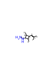 CC(C)=CC1C(C)C(NN)C1C